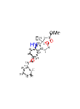 CCC1(CC(=O)OC)OCCc2c1[nH]c1ccc(OCc3ccccc3)cc21